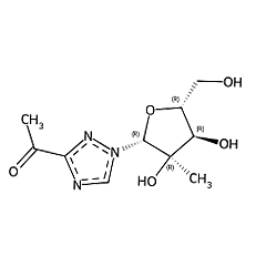 CC(=O)c1ncn([C@@H]2O[C@H](CO)[C@@H](O)[C@@]2(C)O)n1